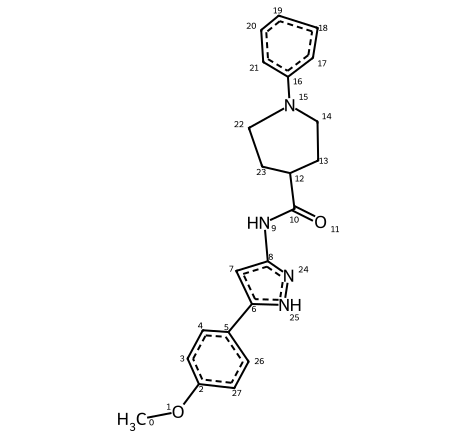 COc1ccc(-c2cc(NC(=O)C3CCN(c4ccccc4)CC3)n[nH]2)cc1